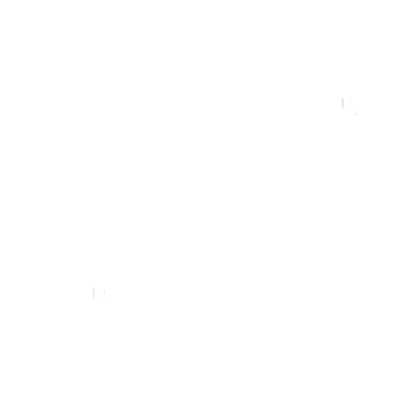 [CH2]CCSCCCCCCCCC